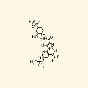 CCc1nc(C(=O)NC[C@@]2(O)CC[C@H](S(C)(=O)=O)C[C@@H]2O)c(Cl)n1-c1ncc(CC(C)(C)C(F)(F)F)cc1OC(F)F